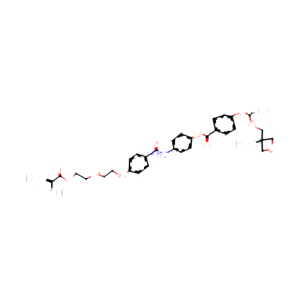 C=C(C)C(=O)OCCOCCOc1ccc(C(=O)Nc2ccc(OC(=O)c3ccc(OC(CCC)OCC4(C)COC4)cc3)cc2)cc1